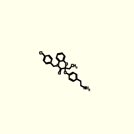 CCC1(Oc2ccc(CCN)cc2)Oc2ccccc2N(Cc2ccc(Cl)cc2)C1=O